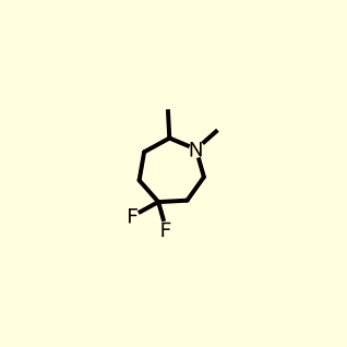 CC1CCC(F)(F)CCN1C